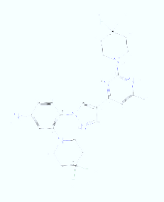 Cc1cc(-c2cnn(-c3ccc(N)cc3N3CCC(F)(F)CC3)c2)nc(N2CCC(F)(F)CC2)n1